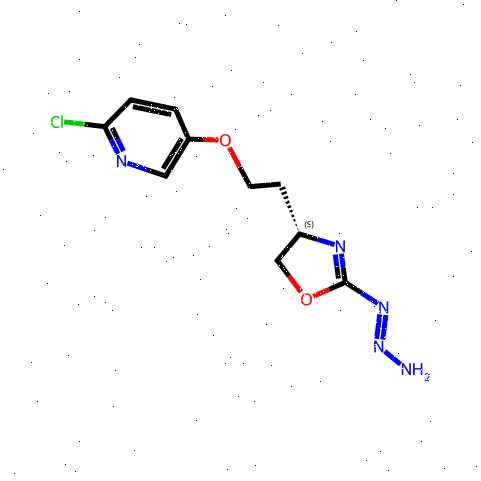 NN=NC1=N[C@@H](CCOc2ccc(Cl)nc2)CO1